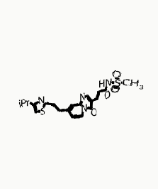 CC(C)c1csc(CCc2ccn3c(=O)c(/C=C/C(=O)NS(C)(=O)=O)cnc3c2)n1